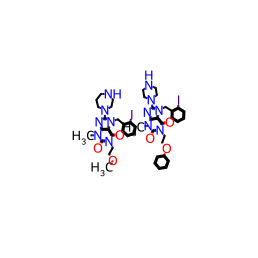 COCCn1c(=O)c2c(nc(N3CCCNCC3)n2Cc2ccccc2I)n(C)c1=O.Cn1c(=O)n(CCOc2ccccc2)c(=O)c2c1nc(N1CCNCC1)n2Cc1ccccc1I